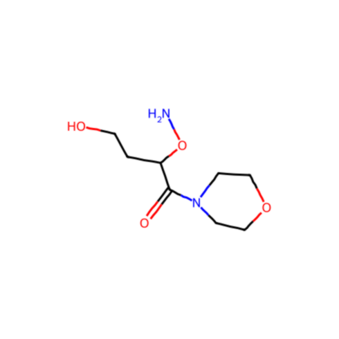 NOC(CCO)C(=O)N1CCOCC1